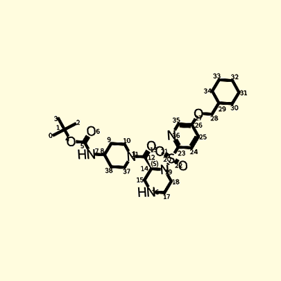 CC(C)(C)OC(=O)NC1CCN(C(=O)[C@@H]2CNCCN2S(=O)(=O)c2ccc(OCC3CCCCC3)cn2)CC1